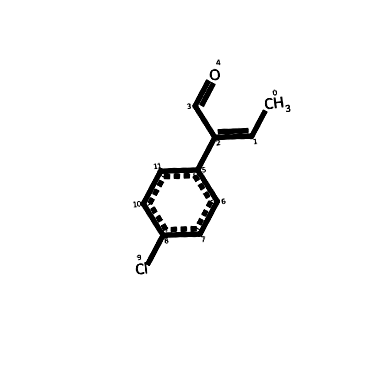 C/C=C(\C=O)c1ccc(Cl)cc1